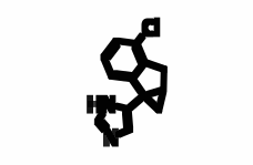 Clc1cccc2c1CC1CC21c1cnc[nH]1